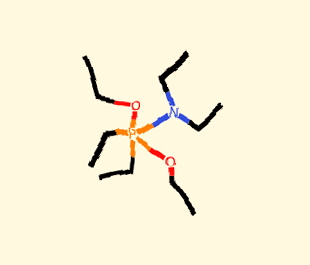 CCOP(CC)(CC)(OCC)N(CC)CC